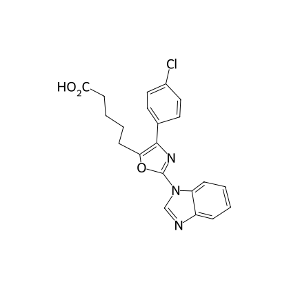 O=C(O)CCCCc1oc(-n2cnc3ccccc32)nc1-c1ccc(Cl)cc1